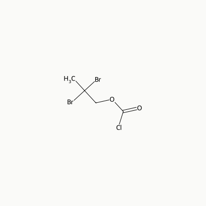 CC(Br)(Br)COC(=O)Cl